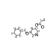 C=CC(=O)Oc1cncc(OCc2ccccc2)c1